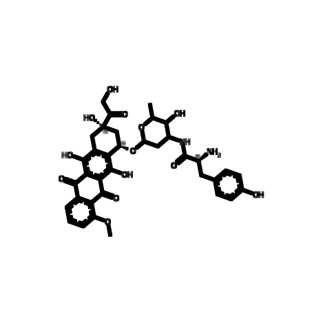 COc1cccc2c1C(=O)c1c(O)c3c(c(O)c1C2=O)C[C@@](O)(C(=O)CO)C[C@@H]3OC1CC(NC(=O)[C@@H](N)Cc2ccc(O)cc2)C(O)C(C)O1